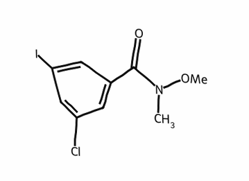 CON(C)C(=O)c1cc(Cl)cc(I)c1